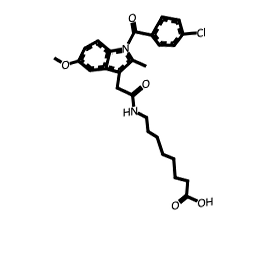 COc1ccc2c(c1)c(CC(=O)NCCCCCCCC(=O)O)c(C)n2C(=O)c1ccc(Cl)cc1